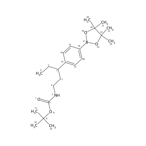 CCC(CCNC(=O)OC(C)(C)C)c1ccc(B2OC(C)(C)C(C)(C)O2)cc1